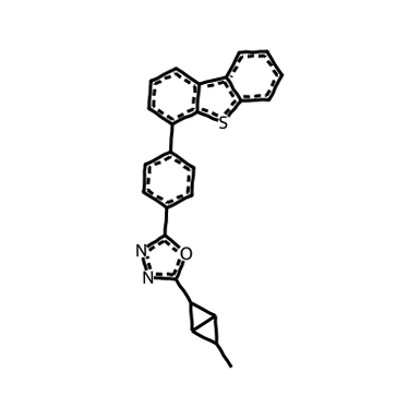 CC1C2C(c3nnc(-c4ccc(-c5cccc6c5sc5ccccc56)cc4)o3)C12